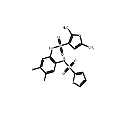 Cc1cc(S(=O)(=O)Nc2cc(I)c(I)cc2NS(=O)(=O)c2cccs2)c(C)s1